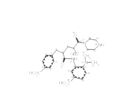 CCCCC(CC(Cc1ccc(C(=O)O)cc1)C(=O)Nc1cc(C(=O)O)ccc1N(C)C)C(=O)N1CCNCC1